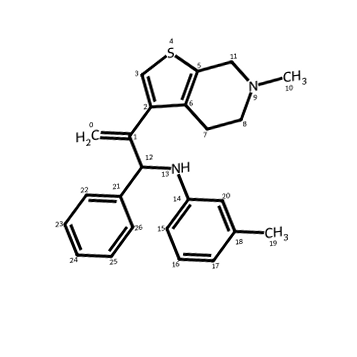 C=C(c1csc2c1CCN(C)C2)C(Nc1cccc(C)c1)c1ccccc1